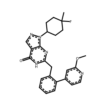 COc1cc(-c2ccccc2Cc2nc3c(cnn3C3CCC(C)(F)CC3)c(=O)[nH]2)ccn1